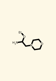 CCOC(N)CN1CCOCC1